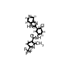 Cc1nc(C(F)(F)F)ccc1C(=O)Nc1ccc(Cl)c(-c2nc3cnccc3[nH]2)c1